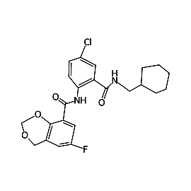 O=C(NCC1CCCCC1)c1cc(Cl)ccc1NC(=O)c1cc(F)cc2c1OCOC2